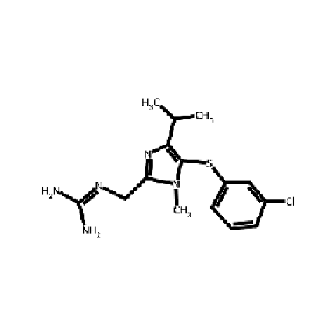 CC(C)c1nc(CN=C(N)N)n(C)c1Sc1cccc(Cl)c1